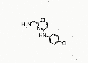 C=C/C(=N\C(Cl)=C/N)Nc1ccc(Cl)cc1